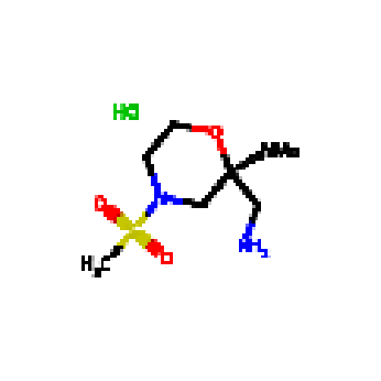 CN[C@@]1(CN)CN(S(C)(=O)=O)CCO1.Cl